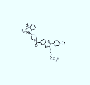 C=NN(c1ccccc1C)C1CCN(C(=O)C2=CC3N=C(CCCCC(=O)O)C(c4ccc(CC)cc4)=NC3C=C2)CC1